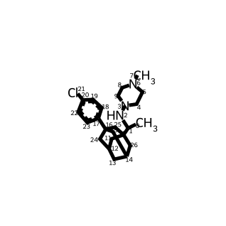 CC(NN1CCN(C)CC1)C12CC3CC(CC(c4ccc(Cl)cc4)(C3)C1)C2